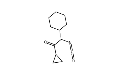 O=C=N[C@H](C(=O)C1CC1)C1CCCCC1